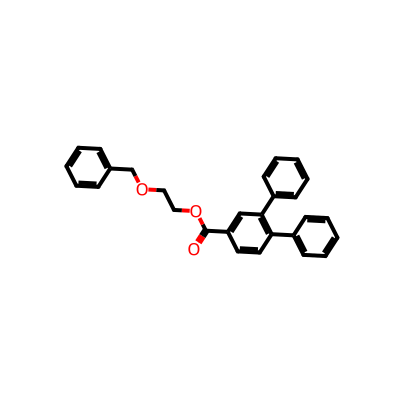 O=C(OCCOCc1ccccc1)c1ccc(-c2ccccc2)c(-c2ccccc2)c1